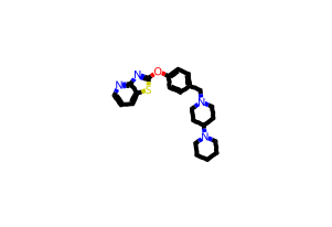 c1cnc2nc(Oc3ccc(CN4CCC(N5CCCCC5)CC4)cc3)sc2c1